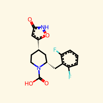 O=C(O)N1CC[C@H](c2cc(=O)[nH]o2)C[C@@H]1Cc1c(F)cccc1F